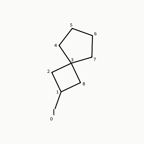 IC1CC2(CCCC2)C1